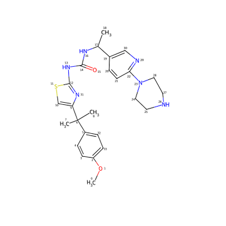 COc1ccc(C(C)(C)c2csc(NC(=O)NC(C)c3ccc(N4CCNCC4)nc3)n2)cc1